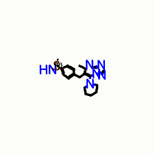 Cc1nc2ncnn2c(N2CCCCC2)c1Cc1ccc([S@](C)=N)cc1